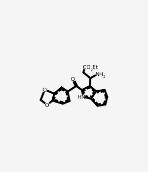 CCOC(=O)CC(N)c1c(C(=O)c2ccc3c(c2)OCO3)[nH]c2ccccc12